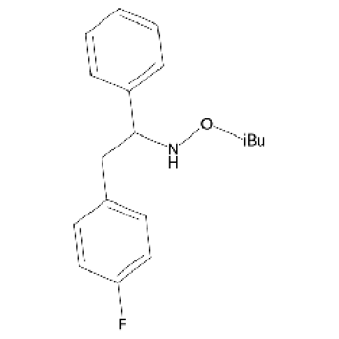 CCC(C)ONC(Cc1ccc(F)cc1)c1ccccc1